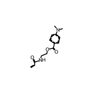 C=CC(=O)NCCOC(=O)c1ccc(N(C)C)cc1